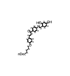 CCCCCCCCCCCCCCOc1ccc(C=CC(=O)c2ccc(N=Cc3ccc(O)cc3O)cc2)cc1